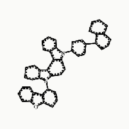 c1ccc2c(-c3ccc(-n4c5ccccc5c5c6c7ccccc7n(-c7cccc8oc9ccccc9c78)c6ccc54)cc3)cccc2c1